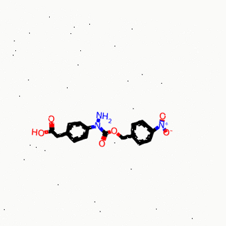 NN(C(=O)OCc1ccc([N+](=O)[O-])cc1)c1ccc(CC(=O)O)cc1